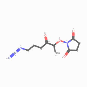 CCCCC(ON1C(=O)CCC1=O)C(=O)CCCN=[N+]=[N-]